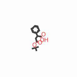 CC(C)(C)OC(=O)CC(C(=O)O)c1ccccc1